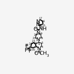 CC(=O)N1CCC(N2CCN(C(=O)Nc3cccnn3)CC2)c2ccc(C(F)(F)F)cc21